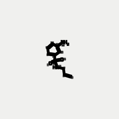 C=CCNS(=O)(=O)c1cccc(N)c1